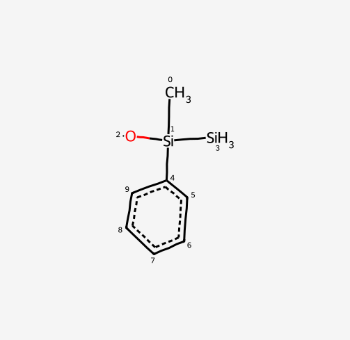 C[Si]([O])([SiH3])c1ccccc1